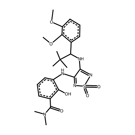 COc1cccc(C(NC2=NS(=O)(=O)N=C2Nc2cccc(C(=O)N(C)C)c2O)C(C)(C)C)c1OC